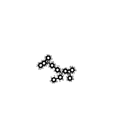 c1ccc(-c2cccc(N(c3ccc(-c4ccc(-n5c6ccccc6c6cc7ccccc7cc65)cc4)cc3)c3ccc4c5ccccc5n(-c5ccccc5)c4c3)c2)cc1